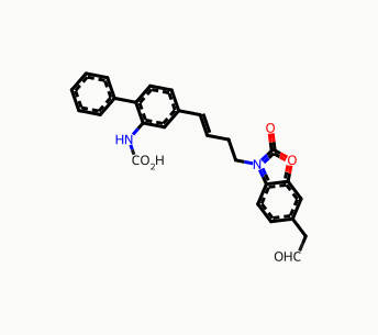 O=CCc1ccc2c(c1)oc(=O)n2CCC=Cc1ccc(-c2ccccc2)c(NC(=O)O)c1